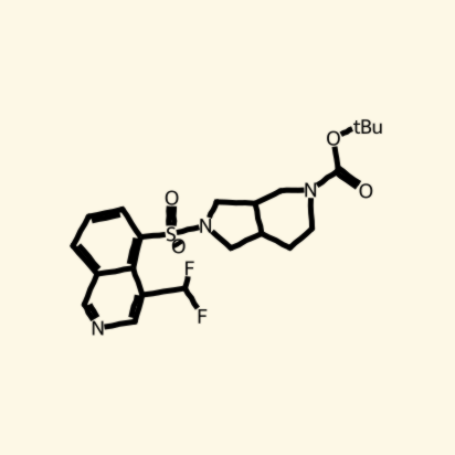 CC(C)(C)OC(=O)N1CCC2CN(S(=O)(=O)c3cccc4cncc(C(F)F)c34)CC2C1